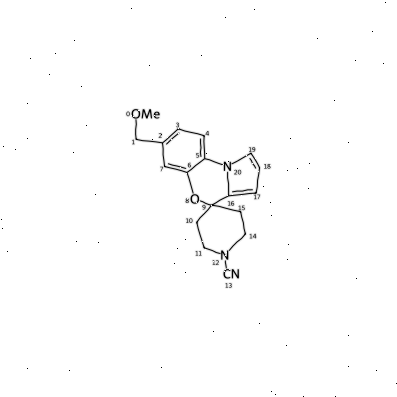 COCc1ccc2c(c1)OC1(CCN(C#N)CC1)c1cccn1-2